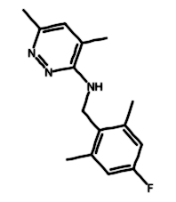 Cc1cc(C)c(NCc2c(C)cc(F)cc2C)nn1